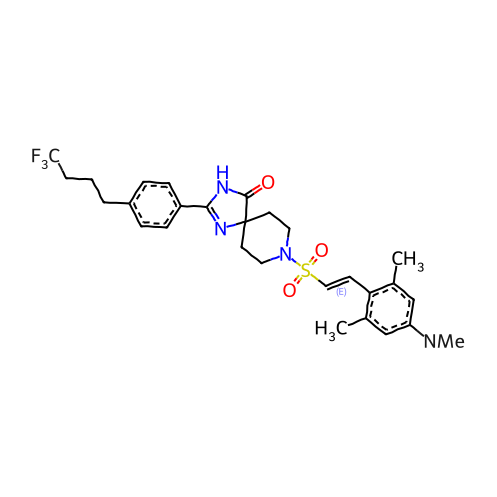 CNc1cc(C)c(/C=C/S(=O)(=O)N2CCC3(CC2)N=C(c2ccc(CCCC(F)(F)F)cc2)NC3=O)c(C)c1